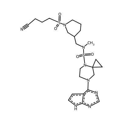 CN(CC1CCCN(S(=O)(=O)CCCC#N)C1)S(=O)(=O)N1CCN(c2ncnc3[nH]ccc23)CC12CC2